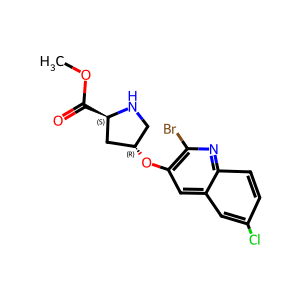 COC(=O)[C@@H]1C[C@@H](Oc2cc3cc(Cl)ccc3nc2Br)CN1